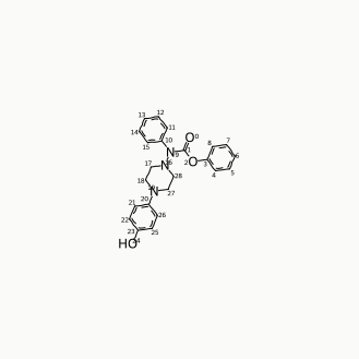 O=C(Oc1ccccc1)N(c1ccccc1)N1CCN(c2ccc(O)cc2)CC1